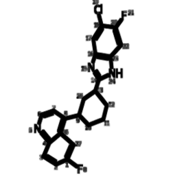 Fc1ccc2nccc(C3CCCC(c4nc5cc(Cl)c(F)cc5[nH]4)C3)c2c1